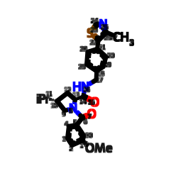 COc1cccc(C(=O)N2C[C@H](C(C)C)C[C@H]2C(=O)NCc2ccc(-c3scnc3C)cc2)c1